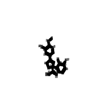 COc1ncc(C2=C[C@](C(=O)O)(c3cccc(F)c3C)CC2)cc1F